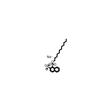 CCCCCCCCCCCCOS(=O)(=O)c1c(S(=O)(=O)[O-])ccc2ccccc12.[Na+]